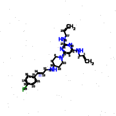 C=CCNc1cc(N2CCC(NC/C=C/c3ccc(F)cc3)CC2)nc(NCC=C)n1